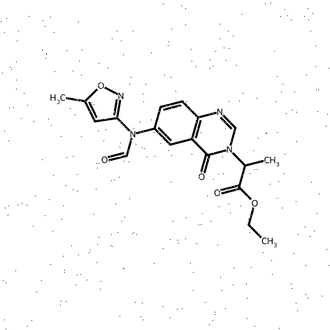 CCOC(=O)C(C)n1cnc2ccc(N(C=O)c3cc(C)on3)cc2c1=O